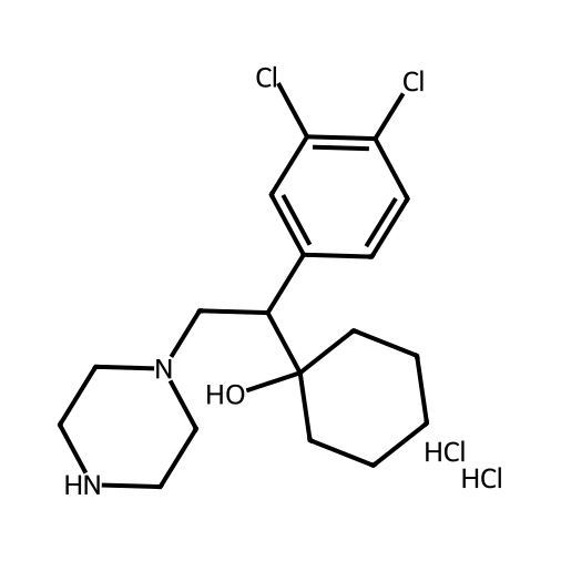 Cl.Cl.OC1(C(CN2CCNCC2)c2ccc(Cl)c(Cl)c2)CCCCC1